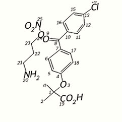 CC(C)(Oc1ccc(C(=O)c2ccc(Cl)cc2)cc1)C(=O)O.NCCCO[N+](=O)[O-]